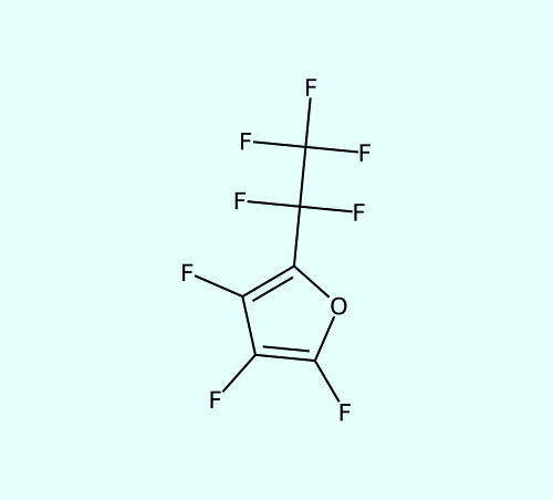 Fc1oc(C(F)(F)C(F)(F)F)c(F)c1F